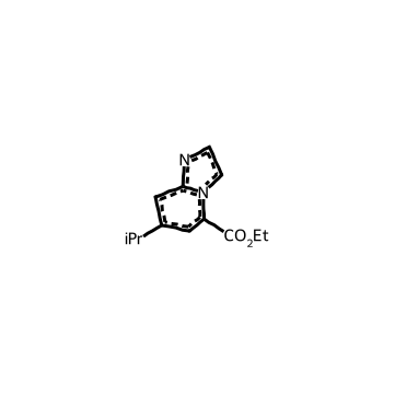 CCOC(=O)c1cc(C(C)C)cc2nccn12